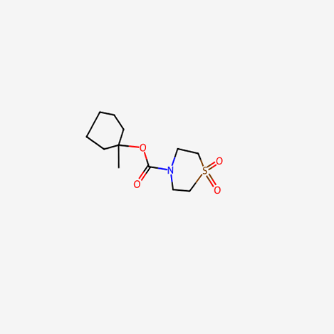 CC1(OC(=O)N2CCS(=O)(=O)CC2)CCCCC1